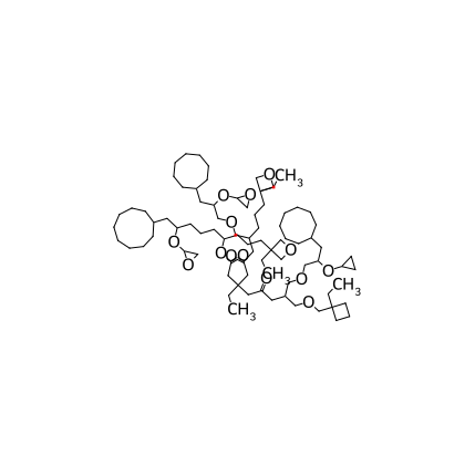 CCC1(COCC(COCC(CC2CCCCCCC2)OC2CC2)CC(=O)CC(CC)(CC(=O)CC(CCCC2(CC)COC2)COCC(CC2CCCCCCC2)OC2CO2)CC(=O)OC(CCCC(CC2CCCCCCCC2)OC2CO2)CCCC2(CC)COC2)CCC1